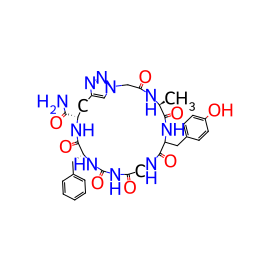 C[C@@H]1NC(=O)Cn2cc(nn2)C[C@@H](C(N)=O)NC(=O)[C@@H](Cc2ccccc2)NC(=O)NC(=O)CNC(=O)C(Cc2ccc(O)cc2)NC1=O